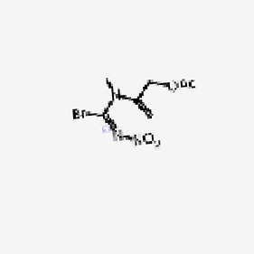 C=C(COC(C)=O)N(C)/C(Br)=N\[N+](=O)[O-]